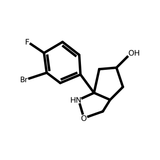 OC1CC2CONC2(c2ccc(F)c(Br)c2)C1